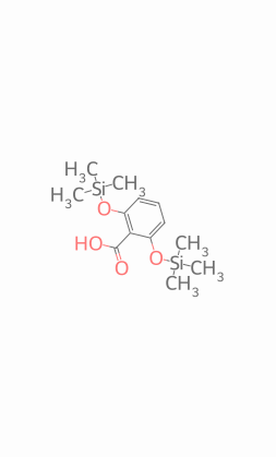 C[Si](C)(C)Oc1cccc(O[Si](C)(C)C)c1C(=O)O